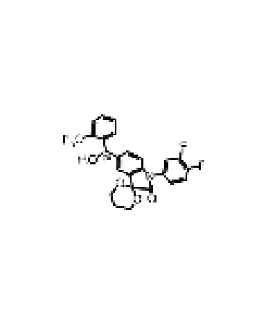 O=C1N(c2ccc(F)c(F)c2)c2ccc([C@@H](O)c3ccccc3C(F)(F)F)cc2C12OCCCO2